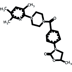 Cc1cc(C)c(N2CCN(C(=O)c3ccc(N4CC(C)OC4=O)cc3)CC2)nc1C